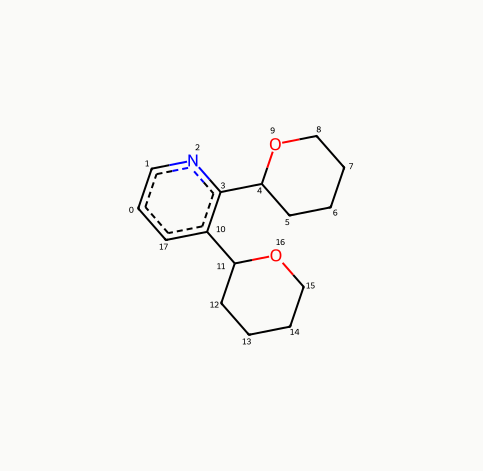 c1cnc(C2CCCCO2)c(C2CCCCO2)c1